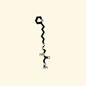 CCCOCC(=O)NCSSCCCCCCc1ccccn1